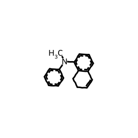 CN(c1ccccc1)c1cccc2c1CCC=C2